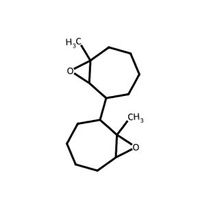 CC12CCCCC(C3CCCCC4OC43C)C1O2